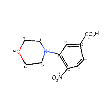 O=C(O)c1ccc([N+](=O)[O-])c(N2CCOCC2)c1